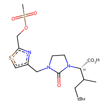 CC(CC(C)(C)C)[C@@H](C(=O)O)N1CCN(Cc2csc(COS(C)(=O)=O)n2)C1=O